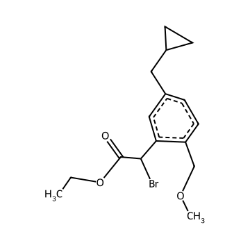 CCOC(=O)C(Br)c1cc(CC2CC2)ccc1COC